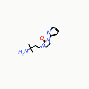 CC(C)(N)CCN1CCN(c2ccccn2)C1=O